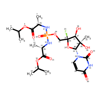 CC(C)OC(=O)[C@H](C)NP(=O)(N[C@@H](C)C(=O)OC(C)C)OC[C@@]1(F)O[C@@H](n2ccc(=O)[nH]c2=O)[C@](C)(O)[C@@H]1O